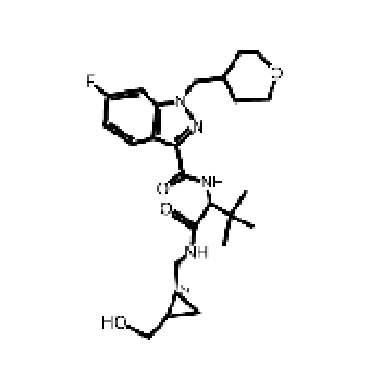 CC(C)(C)C(NC(=O)c1nn(CC2CCOCC2)c2cc(F)ccc12)C(=O)NC[C@H]1CC1CO